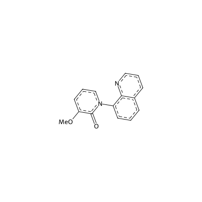 COc1cccn(-c2cccc3cccnc23)c1=O